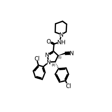 N#C[C@@H]1C(C(=O)NN2CCCCC2)=NN(c2ccccc2Cl)[C@H]1c1ccc(Cl)cc1